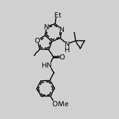 CCc1nc(NC2(C)CC2)c2c(C(=O)NCc3cccc(OC)c3)c(C)oc2n1